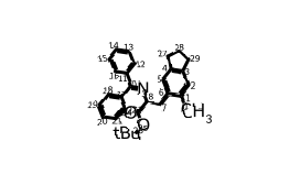 Cc1cc2c(cc1C[C@H](N=C(c1ccccc1)c1ccccc1)C(=O)OC(C)(C)C)CCC2